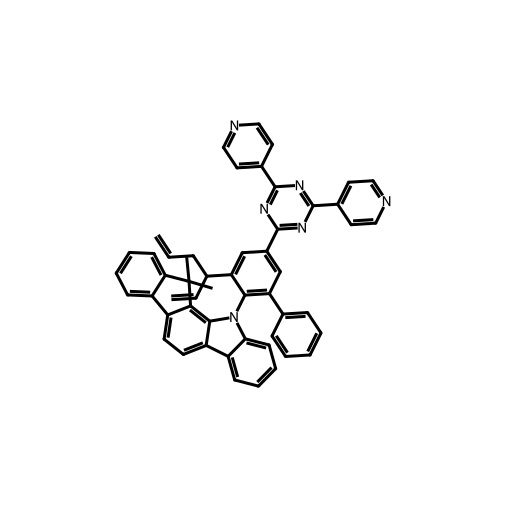 C=CCC(C=C)c1cc(-c2nc(-c3ccncc3)nc(-c3ccncc3)n2)cc(-c2ccccc2)c1-n1c2ccccc2c2ccc3c(c21)C(C)(C)c1ccccc1-3